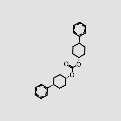 O=C(O[C@H]1CC[C@H](c2ccccc2)CC1)O[C@H]1CC[C@H](c2ccccc2)CC1